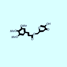 COc1cc(C=CC(=O)OCc2cc(=O)c(O)co2)cc(OC)c1OC